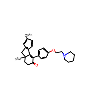 CCCCC12CCC(=O)C(c3ccc(OCCN4CCCCC4)cc3)=C1c1ccc(OC)cc1C2